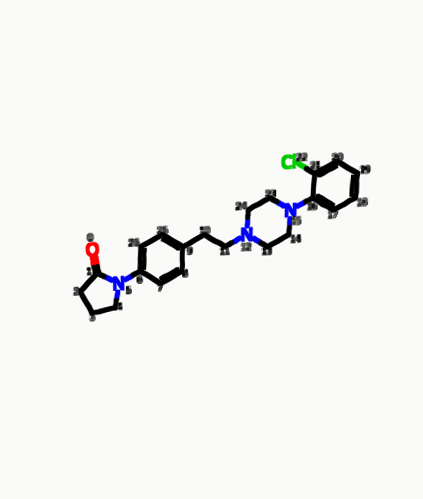 O=C1CCCN1c1ccc(CCN2CCN(c3ccccc3Cl)CC2)cc1